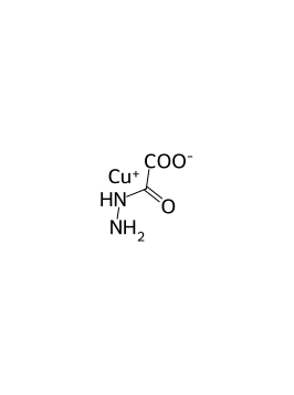 NNC(=O)C(=O)[O-].[Cu+]